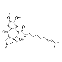 C=C1C[C@H]2C(O)N(C(=O)OCCCCCSSC(C)C)c3cc(OC)c(OC)cc3C(=O)N2C1